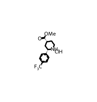 COC(=O)[C@@H]1CCN[C@H](c2ccc(C(F)(F)F)cc2)C1.Cl